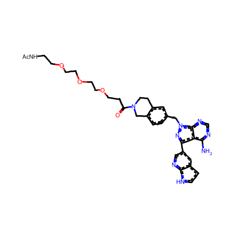 CC(=O)NCCOCCOCCOCCC(=O)N1CCc2cc(Cn3nc(-c4cnc5[nH]ccc5c4)c4c(N)ncnc43)ccc2C1